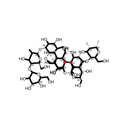 CC1C(O)[C@H](OC2OC(CO)[C@H](O)[C@H](O)C2O)[C@H](CO)O[C@H]1O[C@@H]1C(O)[C@H](O)C(CO)O[C@@H]1OCC(O[C@@H](O[C@@H]1C(CO)O[C@@H](O[C@@H]2C(CO)O[C@@H](C)[C@@H](C)C2O)[C@@H](C)C1O)[C@@H](C)O)[C@@H](O)CO[C@H]1O[C@H](CO)[C@@H](O)C(O)C1O[C@@H]1OC(CO)[C@@H](O)C(O)[C@@H]1C